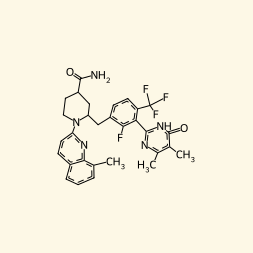 Cc1nc(-c2c(C(F)(F)F)ccc(CC3CC(C(N)=O)CCN3c3ccc4cccc(C)c4n3)c2F)[nH]c(=O)c1C